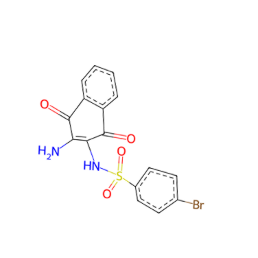 NC1=C(NS(=O)(=O)c2ccc(Br)cc2)C(=O)c2ccccc2C1=O